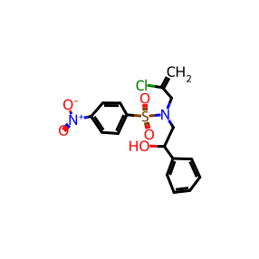 C=C(Cl)CN(CC(O)c1ccccc1)S(=O)(=O)c1ccc([N+](=O)[O-])cc1